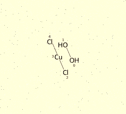 OO.[Cl][Cu][Cl]